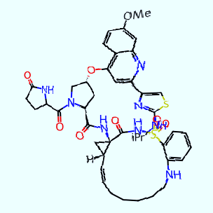 COc1ccc2c(O[C@@H]3C[C@@H](C(=O)N[C@]45C[C@H]4/C=C\CCCCCNc4ccccc4S(=O)(=O)NC5=O)N(C(=O)C4CCC(=O)N4)C3)cc(-c3csc(NC(C)C)n3)nc2c1